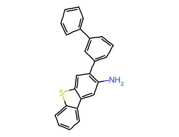 Nc1cc2c(cc1-c1cccc(-c3ccccc3)c1)sc1ccccc12